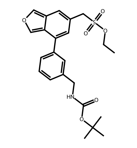 CCOS(=O)(=O)Cc1cc(-c2cccc(CNC(=O)OC(C)(C)C)c2)c2cocc2c1